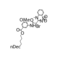 CCCCCCCCCCCCCCOC(=O)c1ccc(OC)c(NC(=O)C(Br)C2=NS(=O)(=O)c3ccccc3N2C)c1